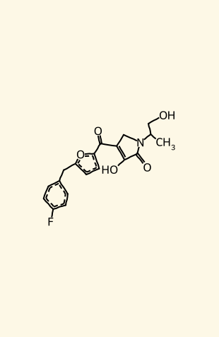 CC(CO)N1CC(C(=O)c2ccc(Cc3ccc(F)cc3)o2)=C(O)C1=O